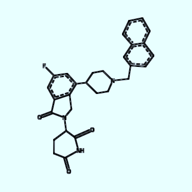 O=C1CCC(N2Cc3c(cc(F)cc3C3CCN(Cc4ccc5ccccc5c4)CC3)C2=O)C(=O)N1